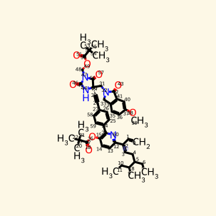 C=C/C(=C\CC(CC)C(C)CC)c1ccc(OC(=O)C(C)(C)C)c(-c2ccc(C#C[C@]3(CN4Cc5ccc(OC)cc5C4=O)NC(=O)N(COC(=O)C(C)(C)C)C3=O)cc2)n1